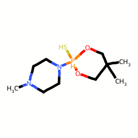 CN1CCN([PH]2(S)OCC(C)(C)CO2)CC1